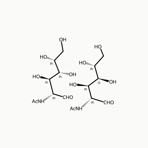 CC(=O)N[C@@H](C=O)[C@@H](O)[C@@H](O)[C@H](O)CO.CC(=O)N[C@@H](C=O)[C@@H](O)[C@H](O)[C@H](O)CO